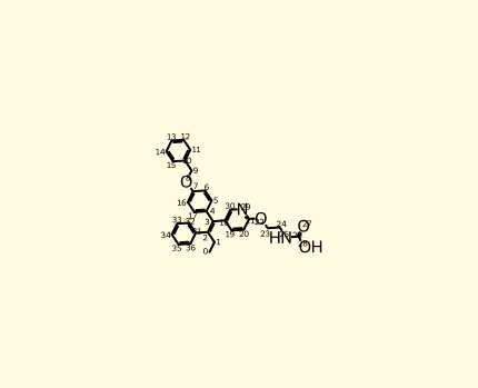 CCC(=C(c1ccc(OCc2ccccc2)cc1)c1ccc(OCCNC(=O)O)nc1)c1ccccc1